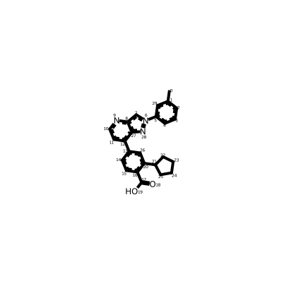 Cc1cccc(-n2cc3nccc(-c4ccc(C(=O)O)c(C5CCCC5)c4)c3n2)c1